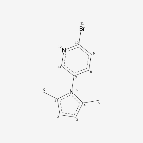 Cc1ccc(C)n1-c1ccc(Br)nc1